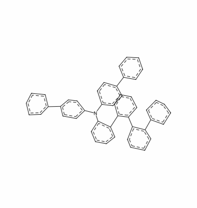 c1ccc(-c2ccc(N(c3ccc(-c4ccccc4)cc3)c3ccccc3-c3ccccc3-c3ccccc3-c3ccccc3)cc2)cc1